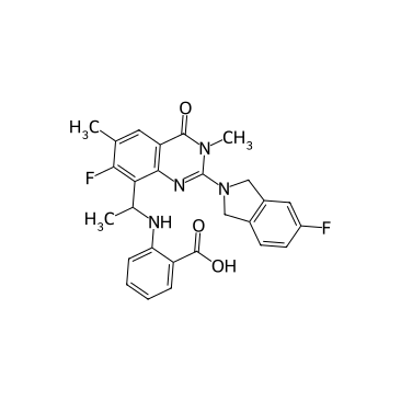 Cc1cc2c(=O)n(C)c(N3Cc4ccc(F)cc4C3)nc2c(C(C)Nc2ccccc2C(=O)O)c1F